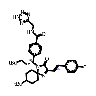 CC(C)(C)CC[C@H](c1ccc(C(=O)NCc2nn[nH]n2)cc1)N1C(=O)C(/C=C/c2ccc(Cl)cc2)=NC12CCC(C(C)(C)C)CC2